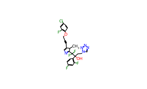 CC1C(C#CCOc2ccc(Cl)cc2F)=CN=C1C(F)(F)C(O)(CCn1cnnn1)c1ccc(F)cc1F